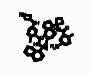 Cc1ccc(N)cc1C(=O)NC1(c2cccc3cc(C4CC4(NC(=O)c4cc(NC5CNC5)ccc4C)c4cccc5ccccc45)ccc23)CCC1